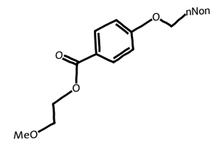 CCCCCCCCCCOc1ccc(C(=O)OCCOC)cc1